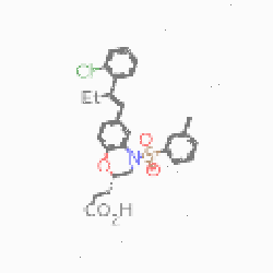 CC/C(=C\c1ccc2c(c1)N(S(=O)(=O)c1cccc(C)c1)C[C@H](CCC(=O)O)O2)c1ccccc1Cl